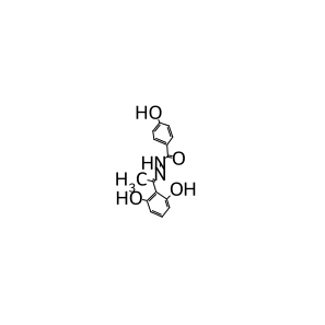 C/C(=N\NC(=O)c1ccc(O)cc1)c1c(O)cccc1O